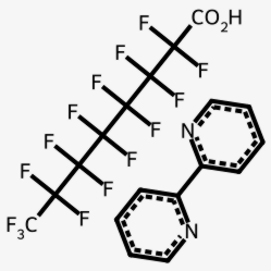 O=C(O)C(F)(F)C(F)(F)C(F)(F)C(F)(F)C(F)(F)C(F)(F)C(F)(F)F.c1ccc(-c2ccccn2)nc1